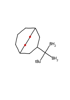 BC(B)(C1CC2CCCCC(CCC2)C1)C(C)(C)C